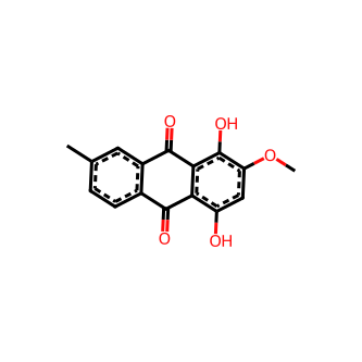 COc1cc(O)c2c(c1O)C(=O)c1cc(C)ccc1C2=O